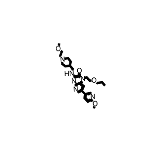 CCCOCCn1c(=O)c(NCC2CCN(CCOC)CC2)nc2ncc(-c3ccc(OC)nc3)cc21